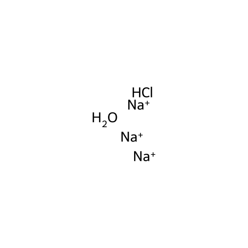 Cl.O.[Na+].[Na+].[Na+]